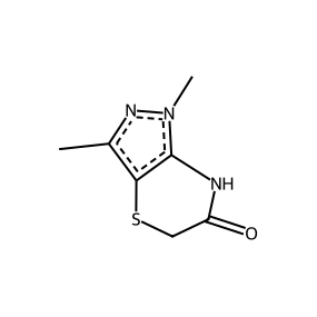 Cc1nn(C)c2c1SCC(=O)N2